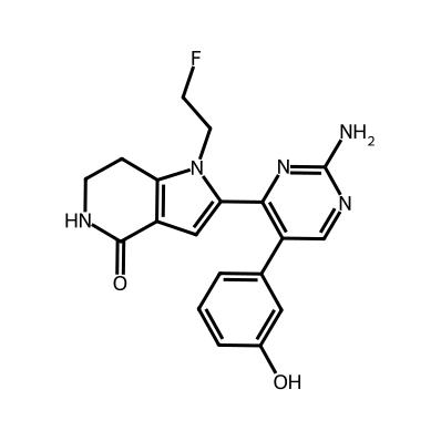 Nc1ncc(-c2cccc(O)c2)c(-c2cc3c(n2CCF)CCNC3=O)n1